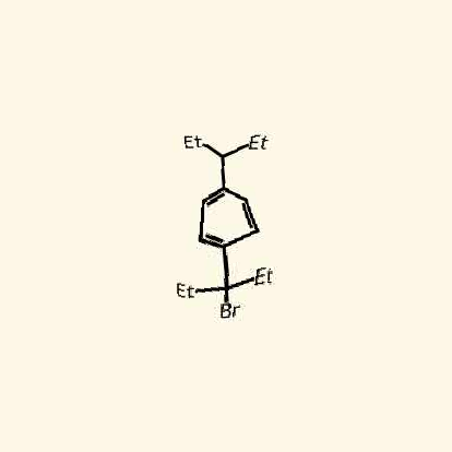 CCC(CC)c1ccc(C(Br)(CC)CC)cc1